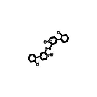 [O-][n+]1ccc(-c2ccccc2Cl)cc1SSc1cc(-c2ccccc2Cl)cc[n+]1[O-]